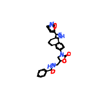 O=C(NCC1CN(c2ccc3c(c2)CCCc2c(-c4ccno4)n[nH]c2-3)C(=O)O1)c1ccccc1